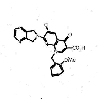 COc1ccccc1Cn1cc(C(=O)O)c(=O)c2cc(Cl)c(N3Cc4cccnc4C3)nc21